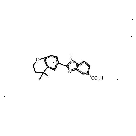 CC1(C)CCOc2ccc(-c3nc4cc(C(=O)O)ccc4[nH]3)cc21